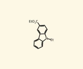 CCOC(=O)c1ccc2c(c1)c1ccccc1n2CC